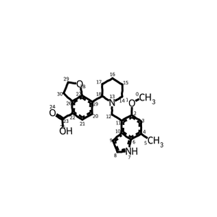 COc1cc(C)c2[nH]ccc2c1CN1CCCCC1c1ccc(C(=O)O)c2c1OCC2